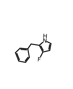 Fc1cc[nH]c1Cc1ccccc1